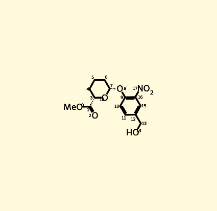 COC(=O)[C@@H]1CCC[C@H](Oc2ccc(CO)cc2[N+](=O)[O-])O1